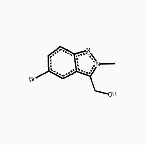 Cn1nc2ccc(Br)cc2c1CO